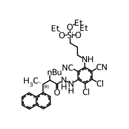 CCCCC(C(=O)NNc1c(Cl)c(Cl)c(C#N)c(NCCC[Si](OCC)(OCC)OCC)c1C#N)[C@@H](C)c1cccc2ccccc12